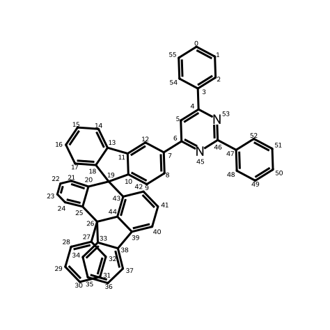 c1ccc(-c2cc(-c3ccc4c(c3)-c3ccccc3C43c4ccccc4C4(c5ccccc5)c5ccccc5-c5cccc3c54)nc(-c3ccccc3)n2)cc1